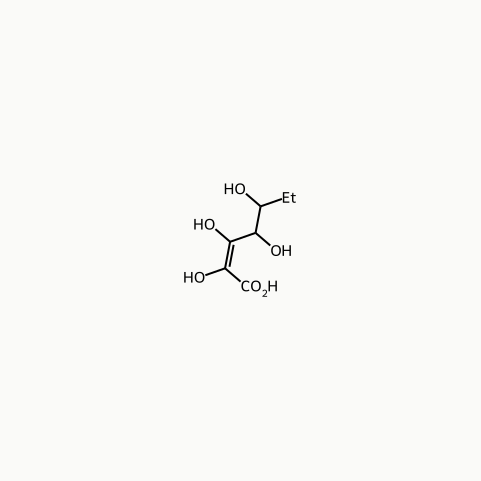 CCC(O)C(O)/C(O)=C(/O)C(=O)O